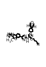 C[C@@H](Cn1cnnn1)Oc1cc(-c2cnc(Nc3cn([C@H]4CC[C@H](N5[C@@H]6CC[C@H]5COC6)CC4)nc3OCCCC#N)nc2)ccc1C#N